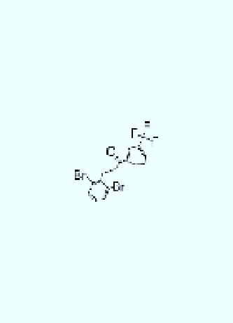 O=C(CCc1c(Br)cccc1Br)c1cccc(C(F)(F)F)c1